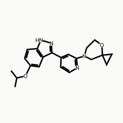 CC(C)Oc1ccc2[nH]nc(-c3ccnc(N4CCOC5(CC5)C4)c3)c2c1